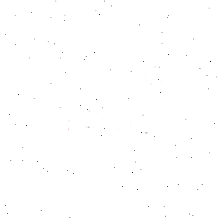 CCOC(=O)c1ccc(OC(=O)c2ccc3c(c2)C(Sc2ccccc2)=CCC3(C)C)cc1[Si](C)(C)C